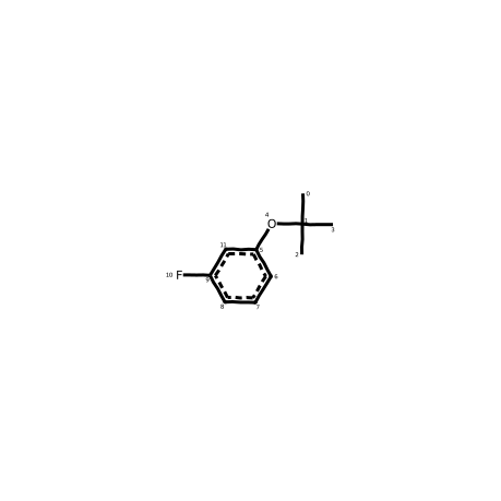 CC(C)(C)Oc1cccc(F)c1